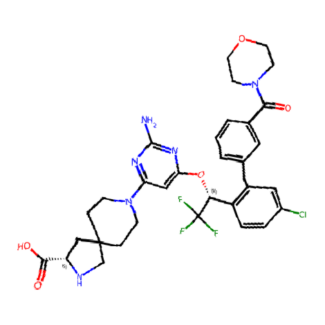 Nc1nc(O[C@H](c2ccc(Cl)cc2-c2cccc(C(=O)N3CCOCC3)c2)C(F)(F)F)cc(N2CCC3(CC2)CN[C@H](C(=O)O)C3)n1